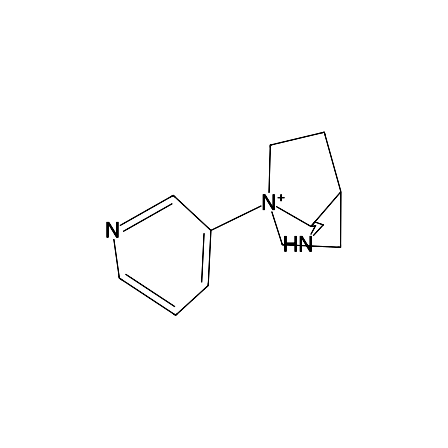 c1cncc([N+]23CCC(CC2)C32CCNC2)c1